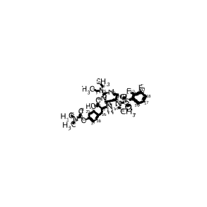 CCN(CC)c1ncc(N(CC)S(=O)(=O)c2cccc(F)c2F)c(NC(Cc2ccc(OC(=O)N(C)C)cc2)C(=O)O)n1